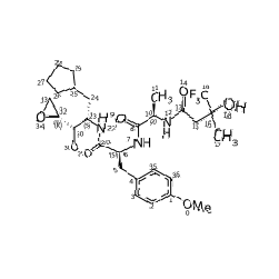 COc1ccc(C[C@H](NC(=O)[C@@H](C)NC(=O)CC(C)(O)C(F)(F)F)C(=O)N[C@@H](CC2CCCC2)C(=O)[C@H]2CO2)cc1